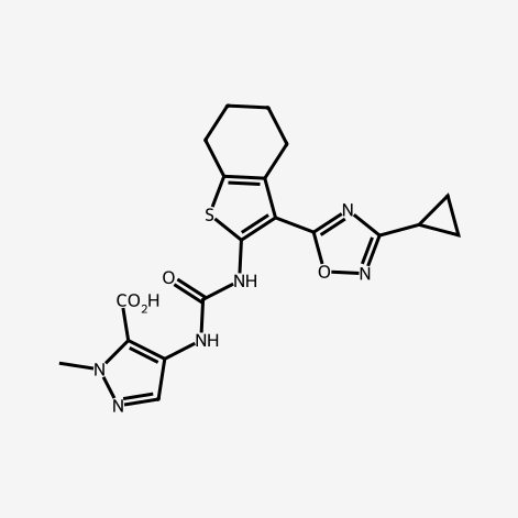 Cn1ncc(NC(=O)Nc2sc3c(c2-c2nc(C4CC4)no2)CCCC3)c1C(=O)O